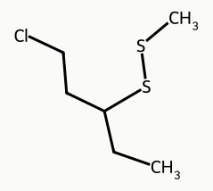 CCC(CCCl)SSC